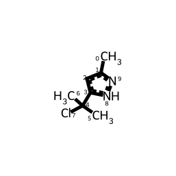 Cc1cc(C(C)(C)Cl)[nH]n1